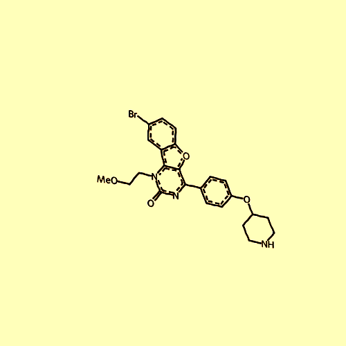 COCCn1c(=O)nc(-c2ccc(OC3CCNCC3)cc2)c2oc3ccc(Br)cc3c21